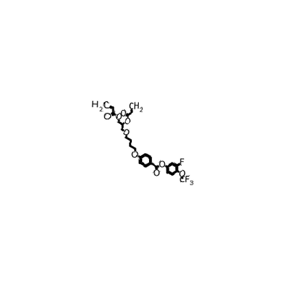 C=CC(=O)OCC(COCCCCOc1ccc(C(=O)Oc2ccc(OC(F)(F)F)c(F)c2)cc1)OC(=O)C=C